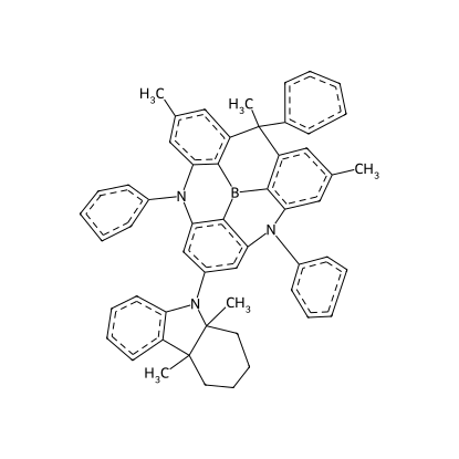 Cc1cc2c3c(c1)C(C)(c1ccccc1)c1cc(C)cc4c1B3c1c(cc(N3c5ccccc5C5(C)CCCCC35C)cc1N4c1ccccc1)N2c1ccccc1